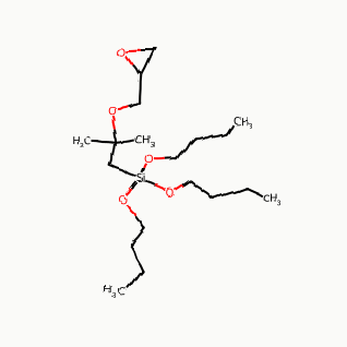 CCCCO[Si](CC(C)(C)OCC1CO1)(OCCCC)OCCCC